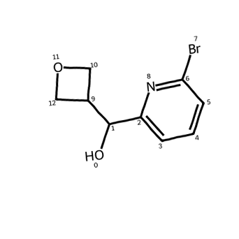 OC(c1cccc(Br)n1)C1COC1